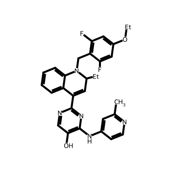 CCOc1cc(F)c(CN2c3ccccc3C(c3ncc(O)c(Nc4ccnc(C)c4)n3)=CC2CC)c(F)c1